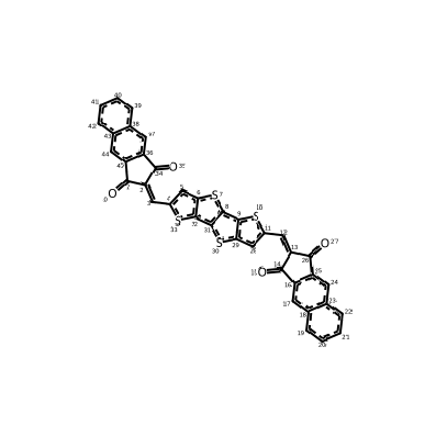 O=C1C(=Cc2cc3sc4c5sc(C=C6C(=O)c7cc8ccccc8cc7C6=O)cc5sc4c3s2)C(=O)c2cc3ccccc3cc21